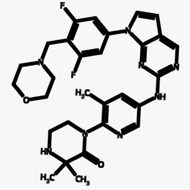 Cc1cc(Nc2ncc3ccn(-c4cc(F)c(CN5CCOCC5)c(F)c4)c3n2)cnc1N1CCNC(C)(C)C1=O